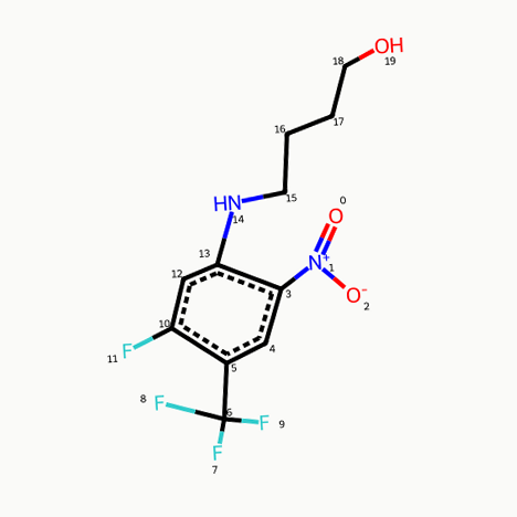 O=[N+]([O-])c1cc(C(F)(F)F)c(F)cc1NCCCCO